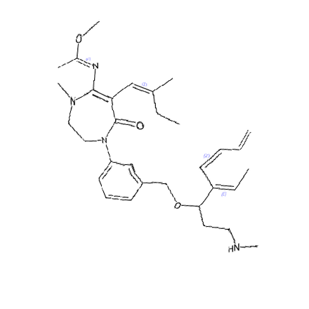 C=C/C=C\C(=C/C)C(CCNC)OCc1cccc(N2CCN(C)C(/N=C(\C)OC)=C(/C=C(/C)CC)C2=O)c1